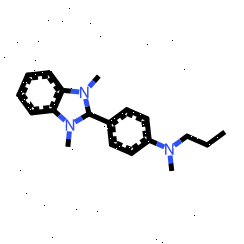 CCCN(C)c1ccc(C2N(C)c3ccccc3N2C)cc1